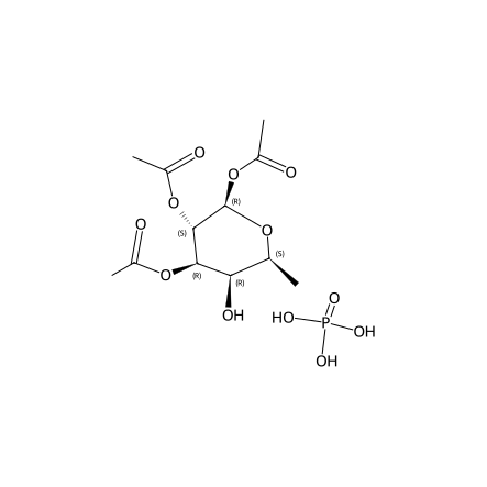 CC(=O)O[C@H]1O[C@@H](C)[C@@H](O)[C@@H](OC(C)=O)[C@@H]1OC(C)=O.O=P(O)(O)O